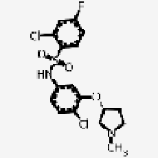 CN1CC[C@@H](Oc2cc(NS(=O)(=O)c3ccc(F)cc3Cl)ccc2Cl)C1